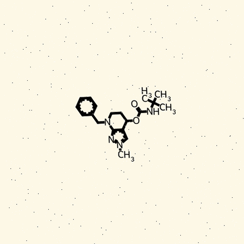 Cn1cc2c(n1)N(Cc1ccccc1)CCC2OC(=O)NC(C)(C)C